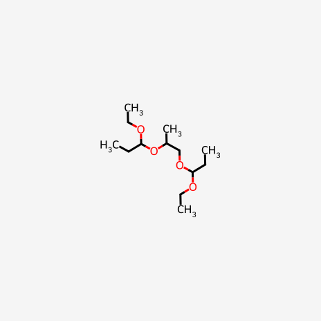 CCOC(CC)OCC(C)OC(CC)OCC